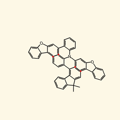 CC1(C)c2ccccc2-c2c(-c3ccccc3N(c3ccc4c(c3)oc3ccccc34)c3ccccc3-c3ccc4c(c3)oc3ccccc34)cccc21